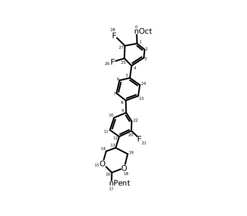 CCCCCCCCC1=CC=C(c2ccc(-c3ccc(C4COC(CCCCC)OC4)c(F)c3)cc2)C(F)C1F